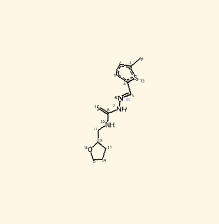 Cc1ccc(/C=N/NC(=S)NCC2CCCO2)s1